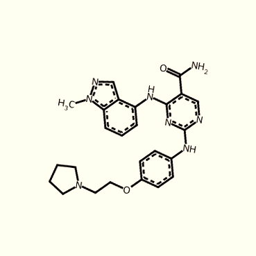 Cn1ncc2c(Nc3nc(Nc4ccc(OCCN5CCCC5)cc4)ncc3C(N)=O)cccc21